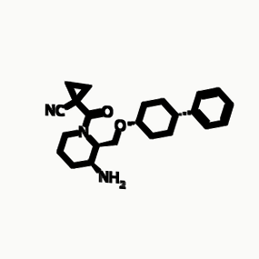 N#CC1(C(=O)N2CCC[C@H](N)[C@@H]2CO[C@H]2CC[C@@H](c3ccccc3)CC2)CC1